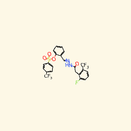 O=C(Cc1c(F)cccc1C(F)(F)F)NN=Cc1ccccc1OS(=O)(=O)c1ccc(C(F)(F)F)cc1